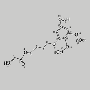 C=CC(=O)OCCCCOc1cc(C(=O)O)cc(OCCCCCCCC)c1OCCCCCCCC